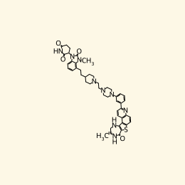 C[C@@H]1CNc2c(sc3ccc4nc(-c5cccc(N6CCN(CCN7CCC(CCc8cccc9c8n(C)c(=O)n9C8CCC(=O)NC8=O)CC7)CC6)c5)ccc4c23)C(=O)N1